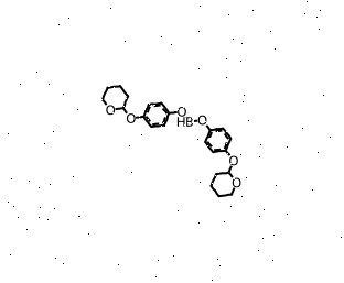 B(Oc1ccc(OC2CCCCO2)cc1)Oc1ccc(OC2CCCCO2)cc1